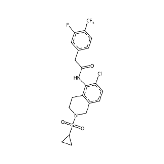 O=C(Cc1ccc(C(F)(F)F)c(F)c1)Nc1c(Cl)ccc2c1CCN(S(=O)(=O)C1CC1)C2